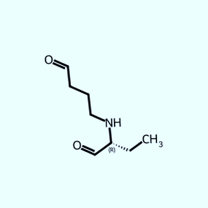 CC[C@H](C=O)NCCCC=O